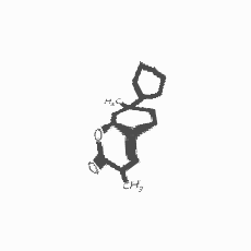 CC1C=C2CCC(C)(C3CCCCC3)CC2OC1=O